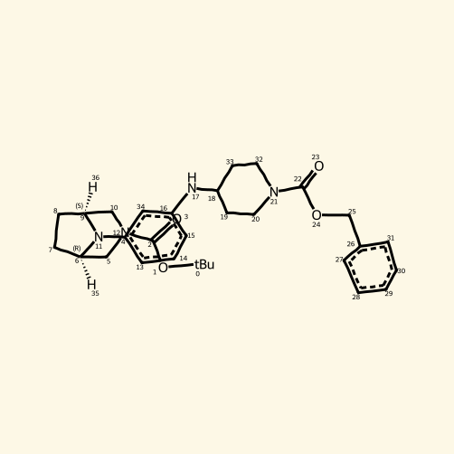 CC(C)(C)OC(=O)N1C[C@H]2CC[C@@H](C1)N2c1cccc(NC2CCN(C(=O)OCc3ccccc3)CC2)c1